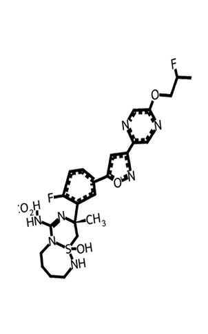 C[C@@]1(c2cc(-c3cc(-c4cnc(OCC(F)F)cn4)no3)ccc2F)CS2(O)NCCCCN2C(NC(=O)O)=N1